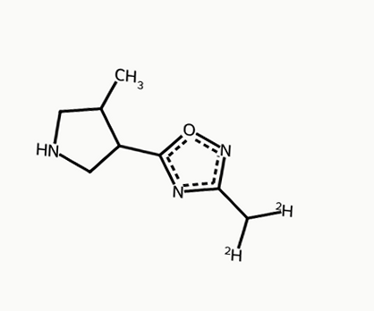 [2H]C([2H])c1noc(C2CNCC2C)n1